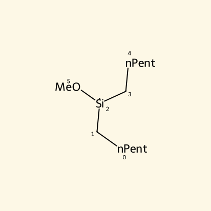 CCCCCC[Si](CCCCCC)OC